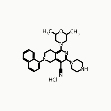 CC1CN(c2nc(N3CCNCC3)c(C#N)c3c2CCN(c2cccc4ccccc24)C3)CC(C)O1.Cl